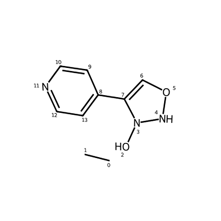 CC.ON1NOC=C1c1ccncc1